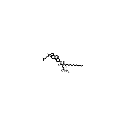 CCCCCCCCCCCC(=O)N[C@@H](CCC(N)=O)C(=O)OC1CC[C@@]2(C)C(=CCC3C2CC[C@@]2(C)C3CC[C@@H]2[C@H](C)CCCC(C)C)C1